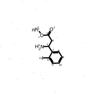 CCCOC(=O)CC(N)c1ccccc1I